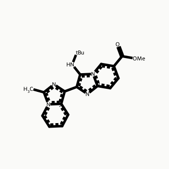 COC(=O)c1ccc2nc(-c3nc(C)n4ccccc34)c(NC(C)(C)C)n2c1